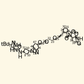 CC(C)(C)c1cc(NC(=O)Nc2ccc(-n3cnc4cc(OCCOCCOCC#Cc5cccc6c5C(=O)N(C5CCC(=O)NC5=O)C6=O)ccc43)cc2)[nH]n1